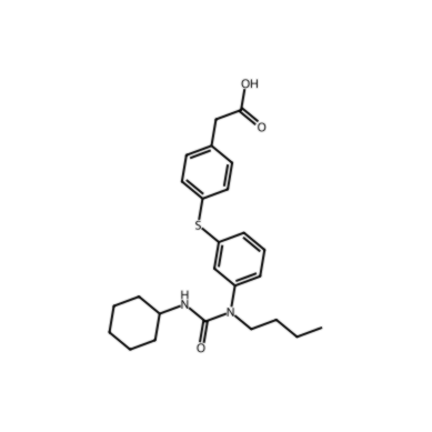 CCCCN(C(=O)NC1CCCCC1)c1cccc(Sc2ccc(CC(=O)O)cc2)c1